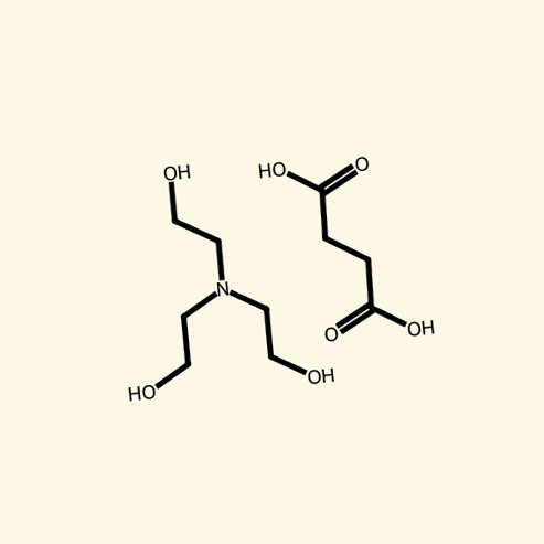 O=C(O)CCC(=O)O.OCCN(CCO)CCO